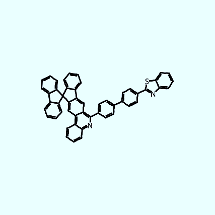 c1ccc2c(c1)-c1ccccc1C21c2ccccc2-c2cc3c(-c4ccc(-c5ccc(-c6nc7ccccc7s6)cc5)cc4)nc4ccccc4c3cc21